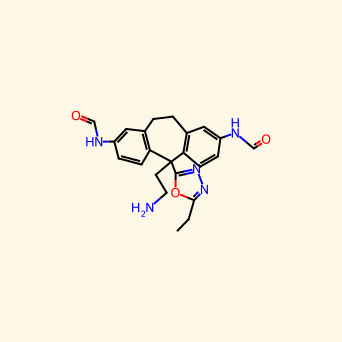 CCc1nnc(C2(CCN)c3ccc(NC=O)cc3CCc3cc(NC=O)ccc32)o1